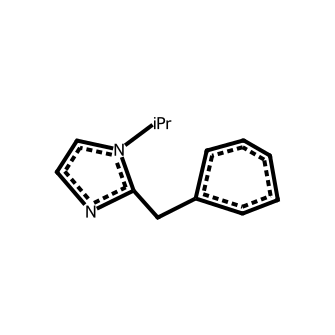 CC(C)n1ccnc1Cc1ccccc1